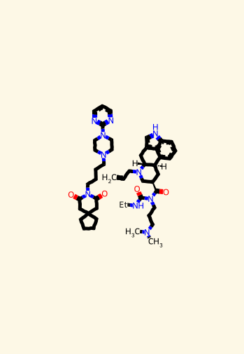 C=CCN1C[C@H](C(=O)N(CCCN(C)C)C(=O)NCC)C[C@@H]2c3cccc4[nH]cc(c34)C[C@H]21.O=C1CC2(CCCC2)CC(=O)N1CCCCN1CCN(c2ncccn2)CC1